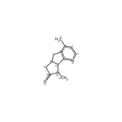 Cc1ccnc2c1CC1CC(=O)N(C)C21